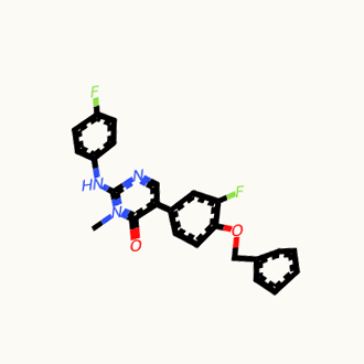 Cn1c(Nc2ccc(F)cc2)ncc(-c2ccc(OCc3ccccc3)c(F)c2)c1=O